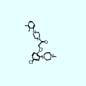 Cc1cccc(N2CCN(C(=O)COc3ccc(Cl)cc3N3CCN(C)CC3)CC2)c1C